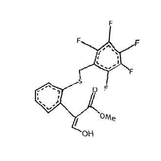 COC(=O)C(=CO)c1ccccc1SCc1c(F)c(F)c(F)c(F)c1F